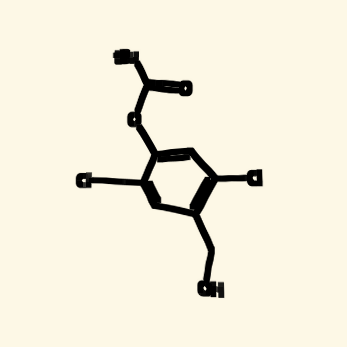 CC(C)(C)C(=O)Oc1cc(Cl)c(CO)cc1Cl